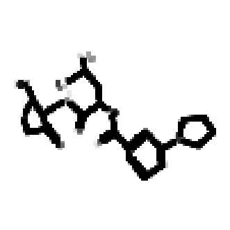 CC(C)CC(NC(=O)c1cccc(N2CCCC2)c1)C(=O)NC1C(=O)COC1C